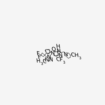 C[C@H]1CCCN(Cc2nc3c(C(F)(F)F)cn(-c4cccc(C5(c6nncn6C)CC(F)(F)C5)c4)c(=O)c3[nH]2)C1